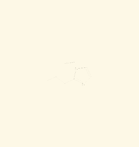 CC.CCCc1ncc[nH]1